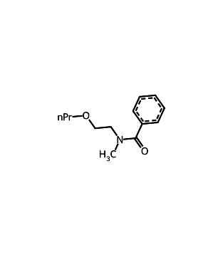 CCCOCCN(C)C(=O)c1ccccc1